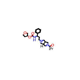 CC(C)C(=O)N1CC2CN(CCC(NC(=O)OC3CCOC3)c3ccccc3)C[C@H]2C1